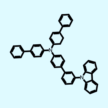 C1=C(c2ccccc2)CCC(N(c2ccc(-c3ccccc3)cc2)c2ccc(-c3cccc(-n4c5ccccc5c5ccccc54)c3)cc2)=C1